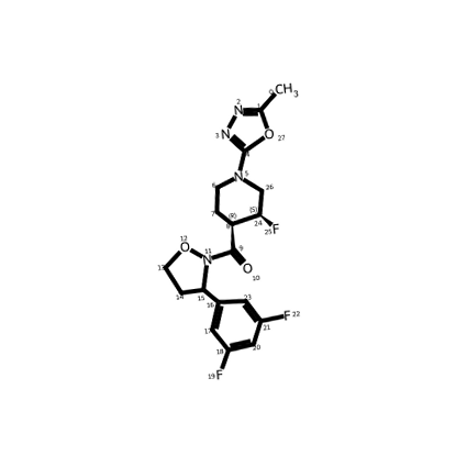 Cc1nnc(N2CC[C@H](C(=O)N3OCCC3c3cc(F)cc(F)c3)[C@H](F)C2)o1